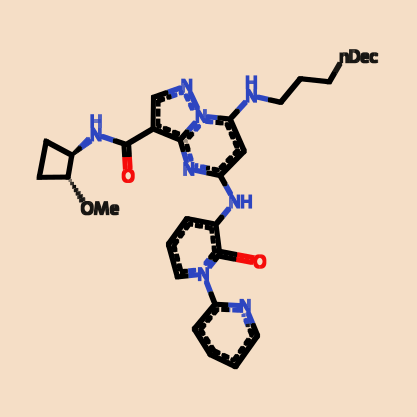 CCCCCCCCCCCCCNc1cc(Nc2cccn(-c3ccccn3)c2=O)nc2c(C(=O)N[C@@H]3CC[C@H]3OC)cnn12